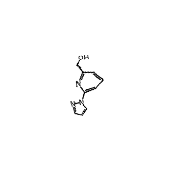 OCc1cccc(-n2cccn2)n1